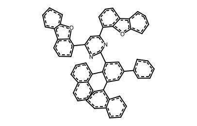 c1ccc(-c2cc(-c3nc(-c4cccc5c4oc4ccccc45)cc(-c4cccc5c4oc4ccccc45)n3)c(-c3cccc4ccccc34)c(-c3cccc4ccccc34)c2)cc1